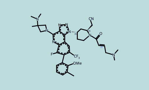 COc1c(C)cccc1-c1c(C(F)(F)F)cc2c(nc(N3CC(C)(N(C)C)C3)c3nnn([C@H]4CCN(C(=O)/C=C/CN(C)C)[C@H](CC#N)C4)c32)c1F